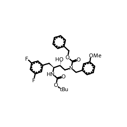 COc1cccc(CN(C[C@@H](O)[C@H](Cc2cc(F)cc(F)c2)NC(=O)OC(C)(C)C)C(=O)OCc2ccccc2)c1